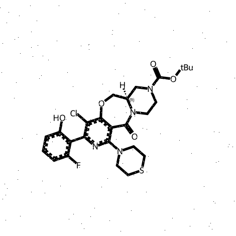 CC(C)(C)OC(=O)N1CCN2C(=O)c3c(N4CCSCC4)nc(-c4c(O)cccc4F)c(Cl)c3OC[C@H]2C1